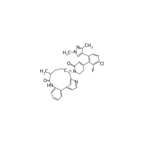 Cc1nn(C)cc1-c1ccc(Cl)c(F)c1C1=CC(=O)N([C@H]2CCCC(C)C(=O)Nc3ccccc3-c3ccnc2c3)CC1